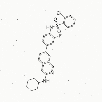 O=S(=O)(Nc1ccc(-c2ccc3cc(NC4CCCCC4)ncc3c2)cc1F)c1ccccc1Cl